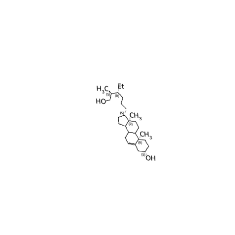 CC[C@H](CCC[C@H]1CCC2C3CC=C4C[C@@H](O)CC[C@]4(C)C3CC[C@@]21C)[C@H](C)CO